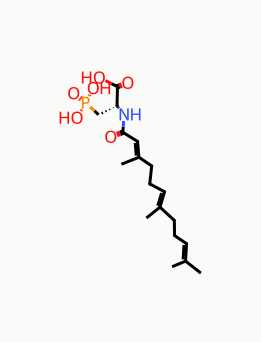 CC(C)=CCC/C(C)=C/CC/C(C)=C/C(=O)N[C@H](CP(=O)(O)O)C(=O)O